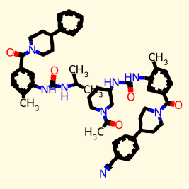 CC(=O)N1CCCC(NC(=O)Nc2cc(C(=O)N3CCC(c4ccc(C#N)cc4)CC3)ccc2C)C1.Cc1ccc(C(=O)N2CCC(c3ccccc3)CC2)cc1NC(=O)NC(C)C